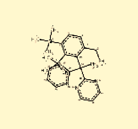 CC(C)(C)c1c([Si](C)(C)C)ccc(CP)c1C(P)(c1ncccn1)c1ncccn1